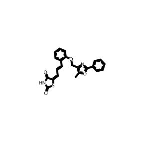 Cc1oc(-c2ccccc2)nc1COc1ccccc1C=CC=C1SC(=O)NC1=O